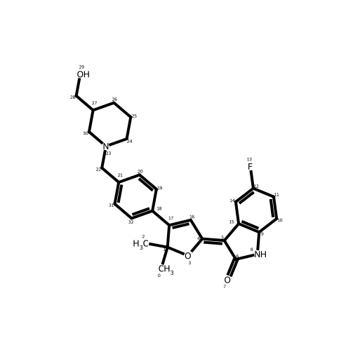 CC1(C)OC(=C2C(=O)Nc3ccc(F)cc32)C=C1c1ccc(CN2CCCC(CO)C2)cc1